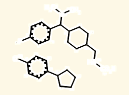 CN(C)C(c1ccc(F)cc1)C1CCC(CNC(=O)O)CC1.Clc1ccc(C2CCCC2)cc1